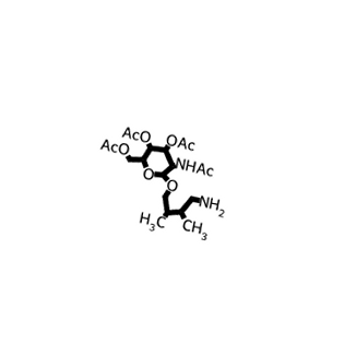 CC(=O)NC1C(OCC(C)C(C)CN)OC(COC(C)=O)C(OC(C)=O)C1OC(C)=O